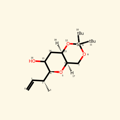 C=C[C@@H](C)[C@@H]1O[C@@H]2CO[Si](C(C)(C)C)(C(C)(C)C)O[C@@H]2CC1O